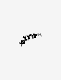 Cc1nc(Cn2cc(N)cn2)cnc1N1CC(F)(F)C1